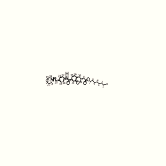 CCCCCCCCOC(=O)CC1COc2cc(C(=O)Nc3ccc(C=NN4CCSCC4)cc3)ccc2C1